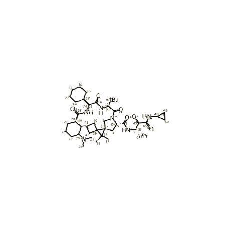 CCC[C@H](NC(=O)[C@@H]1C[C@@]2(CN1C(=O)[C@@H](NC(=O)[C@@H](NC(=O)[C@@H]1CCCC(N(C)C)C1)C1CCCCC1)C(C)(C)C)C(C)(C)C21CCC1)C(=O)C(=O)NC1CC1